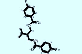 CC(C)C(CNC(=O)c1ccc(F)cc1)COC(=O)c1ccc(F)cc1